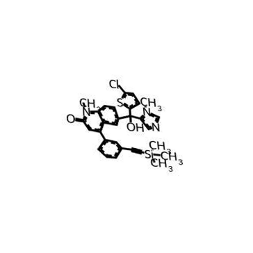 Cn1cncc1C(O)(c1ccc2c(c1)c(-c1cccc(C#C[Si](C)(C)C)c1)cc(=O)n2C)c1ccc(Cl)s1